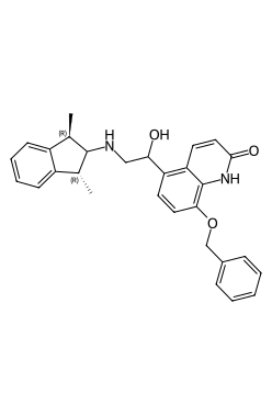 C[C@@H]1c2ccccc2[C@@H](C)C1NCC(O)c1ccc(OCc2ccccc2)c2[nH]c(=O)ccc12